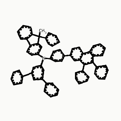 CC1(c2ccccc2)c2ccccc2-c2ccc(N(c3ccc(-c4ccc5c(c4)c(-c4ccccc4)c(-c4ccccc4)c4ccccc45)cc3)c3cc(-c4ccccc4)cc(-c4ccccc4)c3)cc21